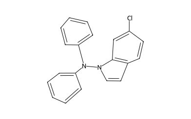 Clc1ccc2ccn(N(c3ccccc3)c3ccccc3)c2c1